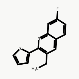 CCc1cc2ccc(F)cc2nc1-c1cccs1